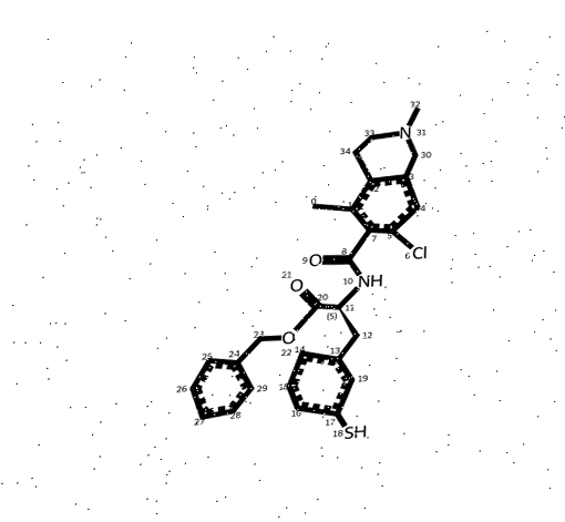 Cc1c2c(cc(Cl)c1C(=O)N[C@@H](Cc1cccc(S)c1)C(=O)OCc1ccccc1)CN(C)CC2